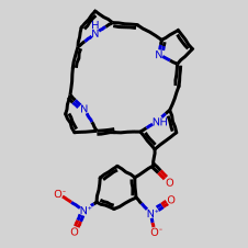 O=C(c1ccc([N+](=O)[O-])cc1[N+](=O)[O-])c1cc2cc3nc(cc4ccc(cc5nc(cc1[nH]2)C=C5)[nH]4)C=C3